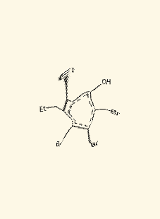 CCc1c(O)c(Br)c(Br)c(Br)c1CC